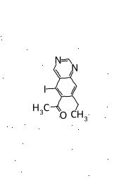 CCc1cc2ncncc2c(I)c1C(C)=O